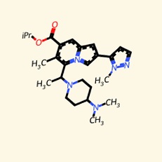 Cc1c(C(=O)OC(C)C)cc2cc(-c3ccnn3C)cn2c1C(C)N1CCC(N(C)C)CC1